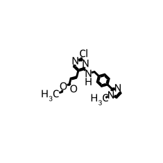 CCOC(=O)/C=C/c1cnc(Cl)nc1NCc1ccc(-c2nccn2C)cc1